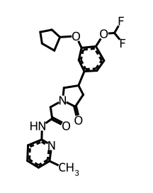 Cc1cccc(NC(=O)CN2CC(c3ccc(OC(F)F)c(OC4CCCC4)c3)CC2=O)n1